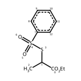 CCOC(=O)C(C)SS(=O)(=O)c1ccccc1